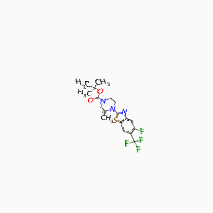 C[C@H]1CN(C(=O)OC(C)(C)C)CCN1c1nc2cc(F)c(C(F)(F)F)cc2s1